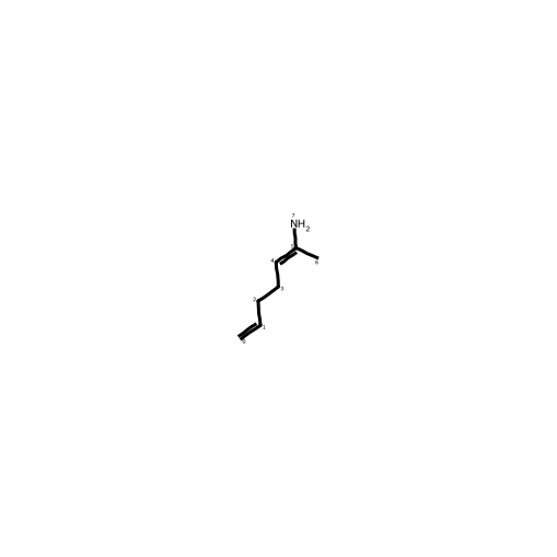 C=CCC/C=C(\C)N